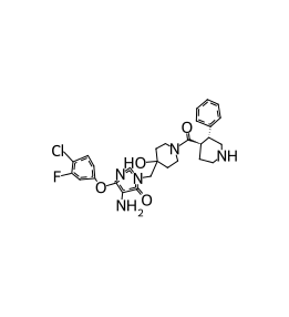 Nc1c(Oc2ccc(Cl)c(F)c2)ncn(CC2(O)CCN(C(=O)[C@@H]3CCNC[C@H]3c3ccccc3)CC2)c1=O